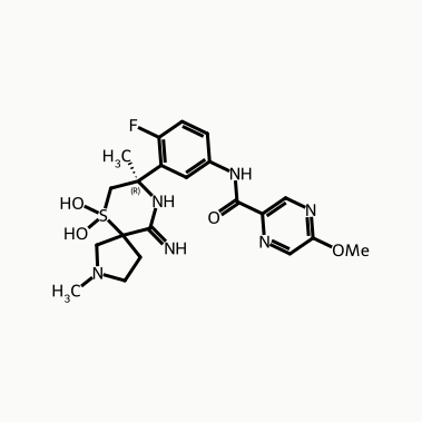 COc1cnc(C(=O)Nc2ccc(F)c([C@]3(C)CS(O)(O)C4(CCN(C)C4)C(=N)N3)c2)cn1